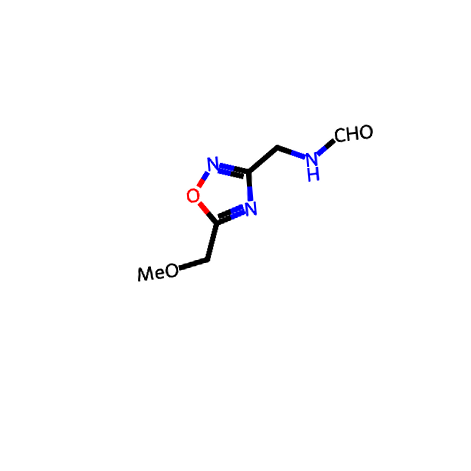 COCc1nc(CNC=O)no1